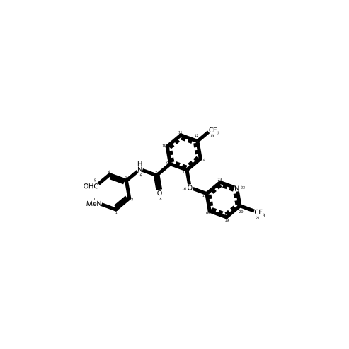 CN/C=C\C(=C/C=O)NC(=O)c1ccc(C(F)(F)F)cc1Oc1ccc(C(F)(F)F)nc1